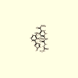 CNC(=O)c1nnc(NC(=O)COC(N)=O)cc1Nc1cccc(-c2ncn(C)n2)c1OC